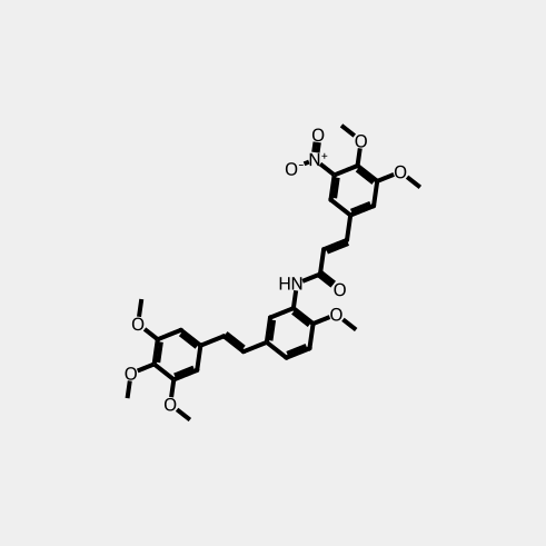 COc1ccc(/C=C/c2cc(OC)c(OC)c(OC)c2)cc1NC(=O)/C=C/c1cc(OC)c(OC)c([N+](=O)[O-])c1